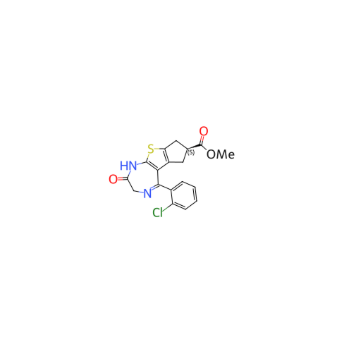 COC(=O)[C@@H]1Cc2sc3c(c2C1)C(c1ccccc1Cl)=NCC(=O)N3